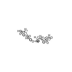 CCCCN(Cc1ccc(C(=O)NO)cc1)C(=O)Nc1ccc(OCCn2cc(C(C)NCNc3cccc4c3C(=O)N(C3CCC(=O)NC3=O)C4=O)nn2)cc1